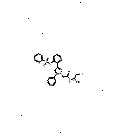 B[C@H](CC(C)C)NC(=O)Cn1nc(-c2ccccc2OS(=O)(=O)c2ccccn2)cc1-c1ccccc1